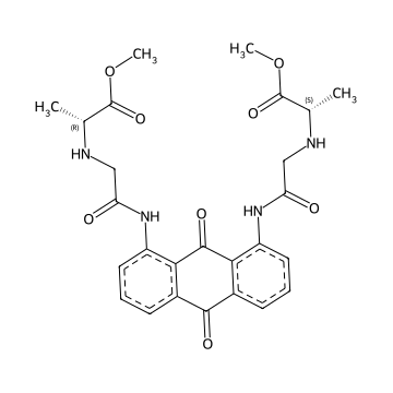 COC(=O)[C@H](C)NCC(=O)Nc1cccc2c1C(=O)c1c(NC(=O)CN[C@H](C)C(=O)OC)cccc1C2=O